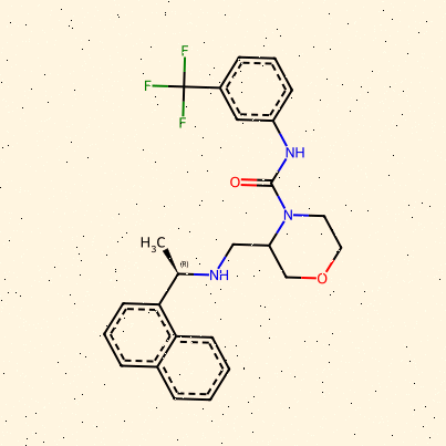 C[C@@H](NCC1COCCN1C(=O)Nc1cccc(C(F)(F)F)c1)c1cccc2ccccc12